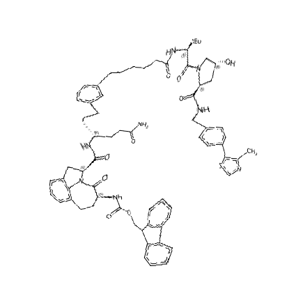 Cc1ncsc1-c1ccc(CNC(=O)[C@@H]2C[C@@H](O)CN2C(=O)[C@@H](NC(=O)CCCCCc2cccc(CC[C@H](CCC(N)=O)NC(=O)[C@@H]3Cc4cccc5c4N3C(=O)[C@@H](NC(=O)OCC3c4ccccc4-c4ccccc43)CC5)c2)C(C)(C)C)cc1